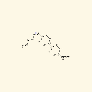 C=CCC/C=C\C1CCC(C2CCC(CCCCC)CC2)CC1